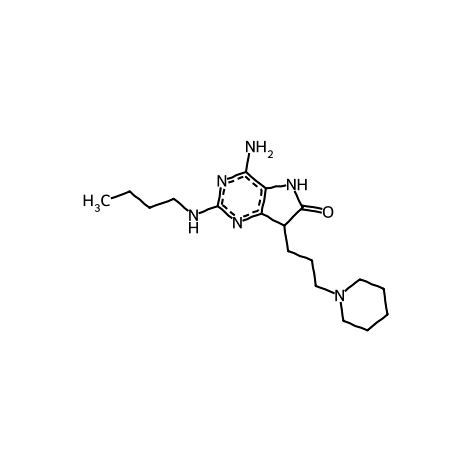 CCCCNc1nc(N)c2c(n1)C(CCCN1CCCCC1)C(=O)N2